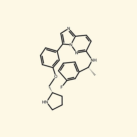 C[C@@H](Nc1ccc2ncc(-c3cccc(OC[C@@H]4CCCN4)c3)n2n1)c1cccc(F)c1